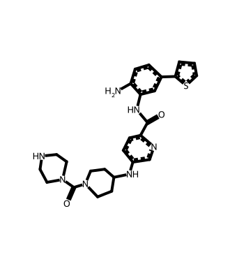 Nc1ccc(-c2cccs2)cc1NC(=O)c1ccc(NC2CCN(C(=O)N3CCNCC3)CC2)cn1